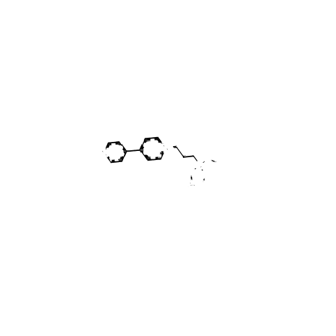 CO[Si](CCC[n+]1ccc(-c2ccncc2)cc1)(OC)OC